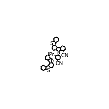 CC(C)c1c(-n2c3ccccc3c3c4c(ccc32)sc2ccccc24)c(C#N)cc(C#N)c1-n1c2ccccc2c2c3c(ccc21)sc1ccccc13